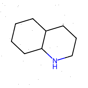 [CH]1CCNC2CCCCC12